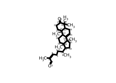 C/C(C=O)=C/CC[C@@H](C)C1CC[C@]2(C)C3=CCC4C(C)(C)C(=O)CC[C@]4(C)C3CC[C@@]12C